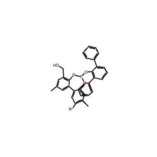 Cc1cc(CO)c2op(Oc3c(-c4ccccc4)cccc3-c3ccccc3)oc3cc(C)c(C(C)C)cc3c2c1